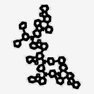 c1ccc(-c2ccc(N(c3cccc(N(c4ccc5c(c4)c4cccc6c4n5-c4ccccc4-c4ccc5c(oc7ccccc75)c4-6)c4cccc5c4oc4ccccc45)c3)c3cc(-c4cccc5oc6c(N(c7cc(-c8ccccc8)cc(-c8ccccc8)c7)c7ccc8c(c7)c7cccc9c7n8-c7ccccc7-c7ccc8c(oc%10ccccc%108)c7-9)cccc6c45)cc4c3oc3ccccc34)cc2)cc1